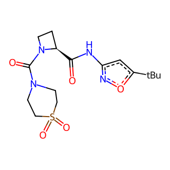 CC(C)(C)c1cc(NC(=O)[C@@H]2CCN2C(=O)N2CCS(=O)(=O)CC2)no1